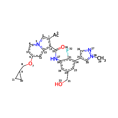 CC(=O)c1cn2ccc(OCC3CC3)cc2c1C(=O)Nc1cc(CO)cc(-c2cnn(C)c2)c1F